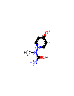 CN(C(N)=O)n1c[c]c(=O)cc1